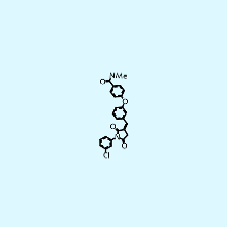 CNC(=O)c1ccc(Oc2cccc(/C=C3/CC(=O)N(c4cccc(Cl)c4)C3=O)c2)cc1